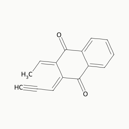 C#C/C=C1/C(=O)c2ccccc2C(=O)/C1=C/C